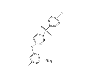 C#Cc1cc(C)cc(Oc2ccc(S(=O)(=O)c3ccc(O)cc3)cc2)c1